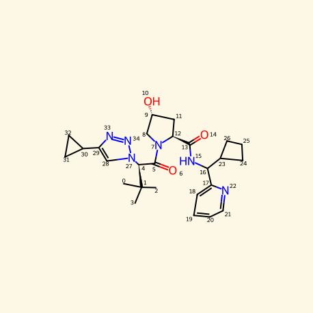 CC(C)(C)[C@H](C(=O)N1C[C@H](O)C[C@H]1C(=O)NC(c1ccccn1)C1CCC1)n1cc(C2CC2)nn1